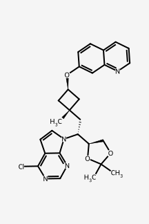 CC1(C)OC[C@H]([C@@H](C[C@]2(C)C[C@@H](Oc3ccc4cccnc4c3)C2)n2ccc3c(Cl)ncnc32)O1